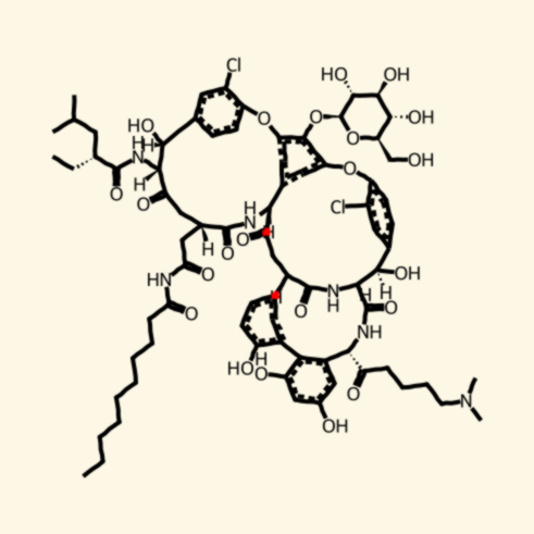 CCCCCCCCCC(=O)NC(=O)C[C@@H]1CC(=O)[C@H](NC(=O)[C@H](CC)CC(C)C)[C@H](O)c2ccc(c(Cl)c2)Oc2cc3cc(c2O[C@@H]2O[C@H](CO)[C@@H](O)[C@H](O)[C@H]2O)Oc2ccc(cc2Cl)[C@@H](O)[C@@H]2NC(=O)[C@H](CC(=O)[C@@H]3NC1=O)c1ccc(O)c(c1)-c1c(O)cc(O)cc1[C@@H](C(=O)CCCCN(C)C)NC2=O